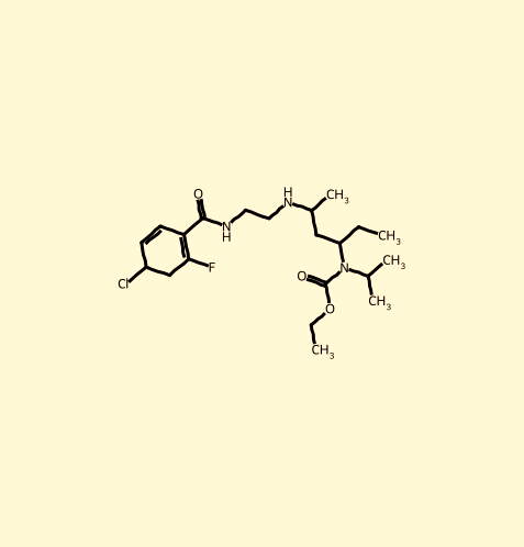 CCOC(=O)N(C(C)C)C(CC)CC(C)NCCNC(=O)C1=C(F)CC(Cl)C=C1